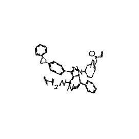 C=CC(=O)N1CCCC(n2nc(-c3ccc(Oc4ccccc4)cc3)c3c(N)ncc(-c4ccccc4)c32)C1